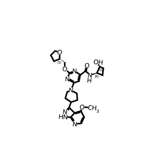 COc1ccnc2[nH]nc(C3CCN(c4cc(C(=O)N[C@@H]5CC[C@@H]5O)nc(OC[C@@H]5CCCO5)n4)CC3)c12